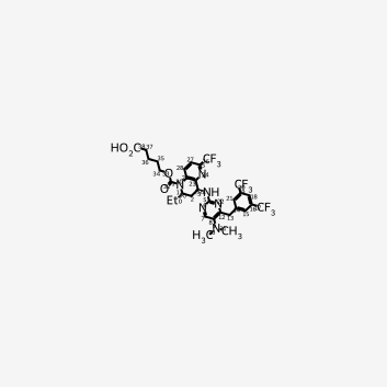 CC[C@@H]1C[C@H](Nc2ncc(N(C)C)c(Cc3cc(C(F)(F)F)cc(C(F)(F)F)c3)n2)c2nc(C(F)(F)F)ccc2N1C(=O)OCCCCC(=O)O